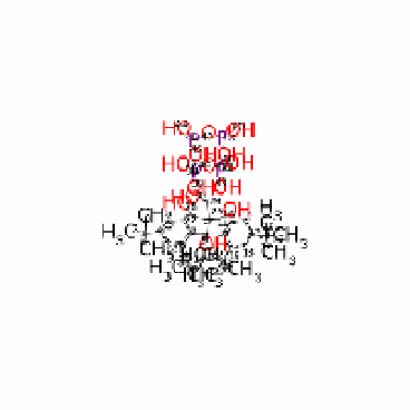 CC(C)(C)c1ccc(C(O)(c2ccc(C(C)(C)C)cc2C(C)(C)C)C(CO)(CO)CO)c(C(C)(C)C)c1.OP(O)OP(O)O.OP(O)OP(O)O